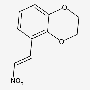 O=[N+]([O-])C=Cc1cccc2c1OCCO2